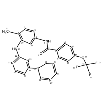 Cc1ccc(NC(=O)c2ccc(OC(F)(F)F)cc2)cc1Nc1nccc(N2C=NC=CC2)n1